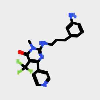 Cn1c(NCCCc2cccc(N)c2)nc(-c2ccncc2)c(C(F)(F)F)c1=O